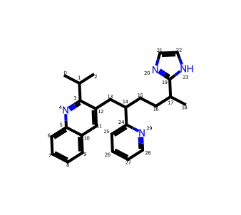 CC(C)c1nc2ccccc2cc1CC(CCC(C)c1ncc[nH]1)c1ccccn1